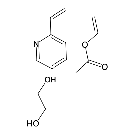 C=COC(C)=O.C=Cc1ccccn1.OCCO